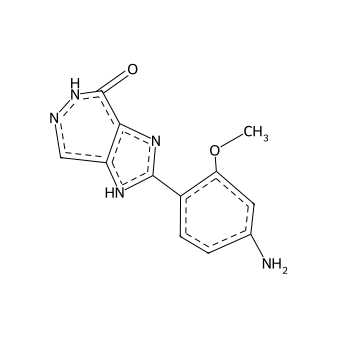 COc1cc(N)ccc1-c1nc2c(=O)[nH]ncc2[nH]1